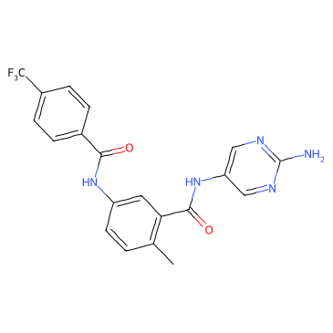 Cc1ccc(NC(=O)c2ccc(C(F)(F)F)cc2)cc1C(=O)Nc1cnc(N)nc1